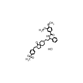 COc1ccc(C(=O)NC(CCN2CCC3(CC2)CCN(Cc2ccc(S(C)(=O)=O)cc2)C3=O)c2ccccc2)cc1OC.Cl